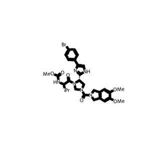 COC(=O)NC(C(=O)N1CN(C(=O)N2Cc3cc(OC)c(OC)cc3C2)C[C@H]1c1nc(-c2ccc(Br)cc2)c[nH]1)C(C)C